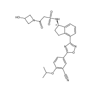 CC(C)Oc1ccc(-c2nc(-c3cccc4c3CC[C@H]4NS(=O)(=O)CC(=O)N3CC(O)C3)no2)cc1C#N